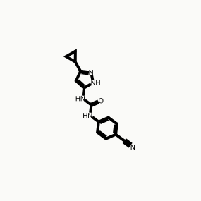 N#Cc1ccc(NC(=O)Nc2cc(C3CC3)n[nH]2)cc1